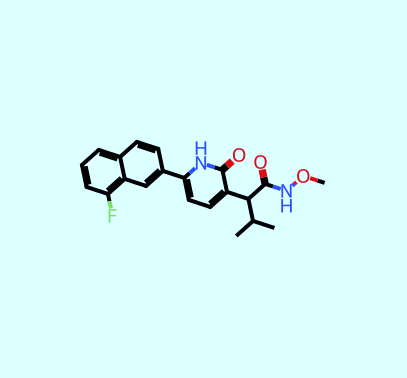 CONC(=O)C(c1ccc(-c2ccc3cccc(F)c3c2)[nH]c1=O)C(C)C